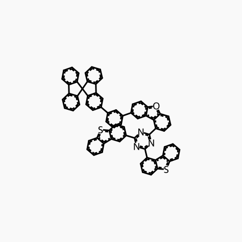 c1cc(-c2ccc3c(c2)-c2ccccc2C32c3ccccc3-c3ccccc32)cc(-c2ccc3oc4cccc(-c5nc(-c6ccc7sc8ccccc8c7c6)nc(-c6cccc7sc8ccccc8c67)n5)c4c3c2)c1